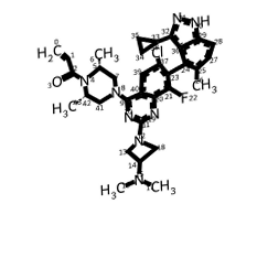 C=CC(=O)N1[C@H](C)CN(c2nc(N3CC(N(C)C)C3)nc3c(F)c(-c4c(C)ccc5[nH]nc(C6CC6)c45)c(Cl)cc23)C[C@@H]1C